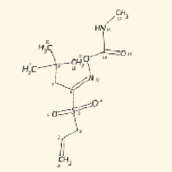 C=CCS(=O)(=O)C(CC(C)(C)C)=NOC(=O)NC